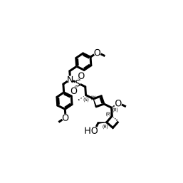 COc1ccc(CN(Cc2ccc(OC)cc2)S(=O)(=O)C[C@@H](C)[C@H]2C=C([C@H](OC)[C@@H]3CC[C@H]3CO)C2)cc1